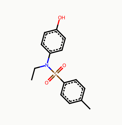 CCN(c1ccc(O)cc1)S(=O)(=O)c1ccc(C)cc1